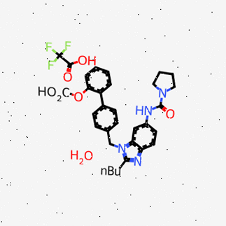 CCCCc1nc2ccc(NC(=O)N3CCCC3)cc2n1Cc1ccc(-c2ccccc2OC(=O)O)cc1.O.O=C(O)C(F)(F)F